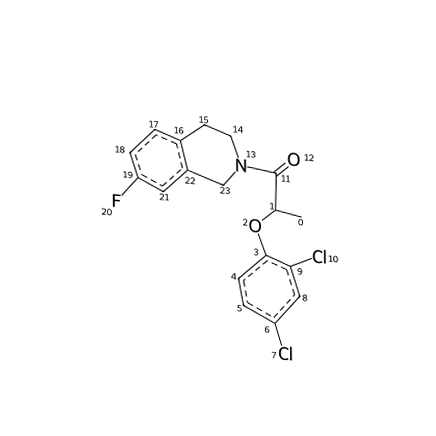 CC(Oc1ccc(Cl)cc1Cl)C(=O)N1CCc2ccc(F)cc2C1